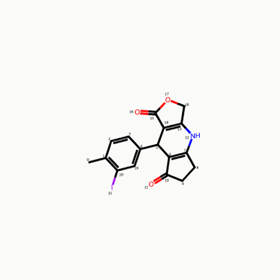 Cc1ccc(C2C3=C(CCC3=O)NC3=C2C(=O)OC3)cc1I